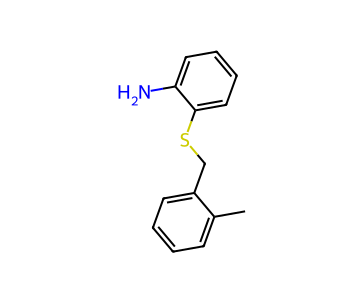 Cc1ccccc1CSc1ccccc1N